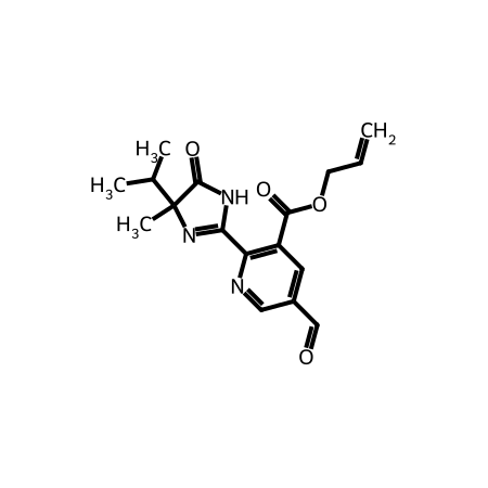 C=CCOC(=O)c1cc(C=O)cnc1C1=NC(C)(C(C)C)C(=O)N1